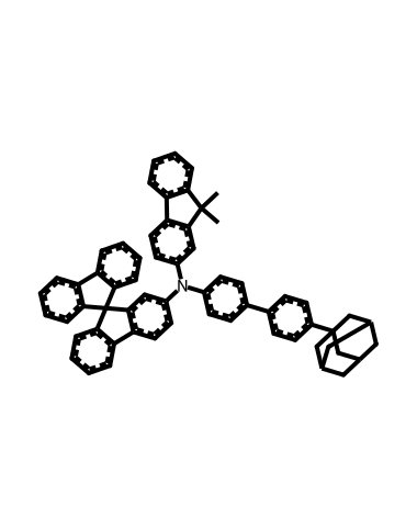 CC1(C)c2ccccc2-c2ccc(N(c3ccc(-c4ccc(C56CC7CC(CC(C7)C5)C6)cc4)cc3)c3ccc4c(c3)C3(c5ccccc5-c5ccccc53)c3ccccc3-4)cc21